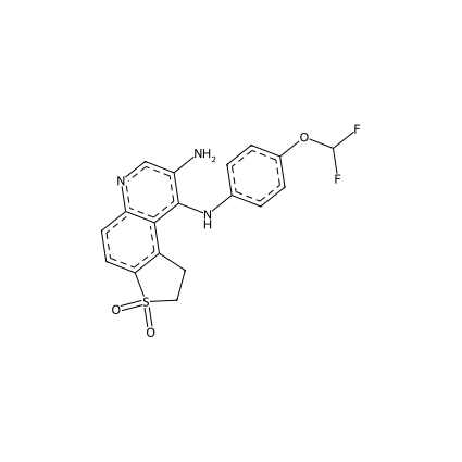 Nc1cnc2ccc3c(c2c1Nc1ccc(OC(F)F)cc1)CCS3(=O)=O